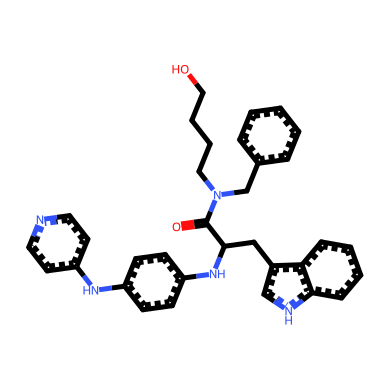 O=C(C(Cc1c[nH]c2ccccc12)Nc1ccc(Nc2ccncc2)cc1)N(CCCCO)Cc1ccccc1